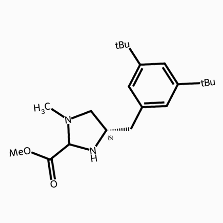 COC(=O)C1N[C@@H](Cc2cc(C(C)(C)C)cc(C(C)(C)C)c2)CN1C